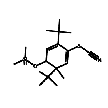 C[SiH](C)OC1C=C(C(C)(C)C)C(SC#N)=CC1(C)C(C)(C)C